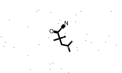 CC(C)CC(C)(C)C(=O)C#N